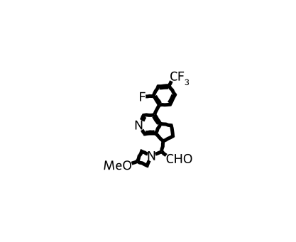 COC1CN(C(C=O)C2CCc3c(-c4ccc(C(F)(F)F)cc4F)cncc32)C1